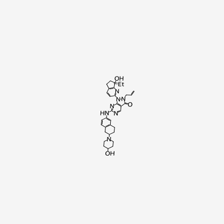 C=CCn1c(=O)c2cnc(Nc3ccc4c(c3)CCC(N3CCC(O)CC3)C4)nc2n1-c1ccc2c(n1)[C@@](O)(CC)CC2